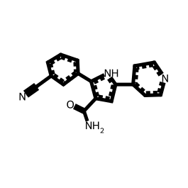 N#Cc1cccc(-c2[nH]c(-c3ccncc3)cc2C(N)=O)c1